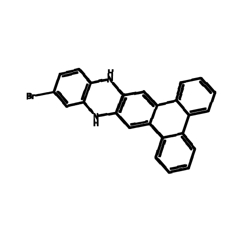 Brc1ccc2c(c1)Nc1cc3c4ccccc4c4ccccc4c3cc1N2